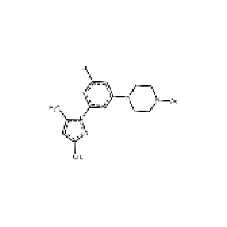 CC(=O)N1CCN(c2cc(Cl)nc(-n3nc(C)cc3C)c2)CC1